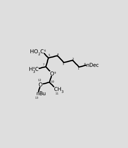 CCCCCCCCCCCCCCC(C(=O)O)C(C)OC(C)OCCCC